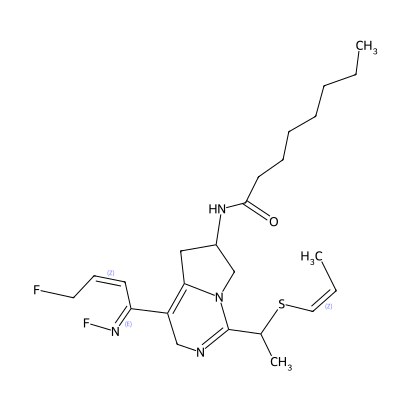 C/C=C\SC(C)C1=NCC(C(/C=C\CF)=N/F)=C2CC(NC(=O)CCCCCCC)CN12